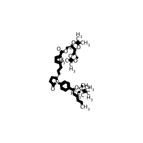 CCCCC[C@H](O[Si](C)(C)C(C)(C)C)c1ccc(N2C(=O)CC[C@@H]2CCCc2ccc(C(=O)OC[C@H]3OC(C)(C)O[C@@H]3[C@@H]3COC(C)(C)O3)s2)cc1